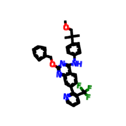 COCC(C)(C)c1ccc(Nc2nc(OCc3ccccc3)nc3cc(-c4ncccc4C(F)(F)F)ccc23)cc1